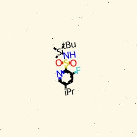 CC(C)c1cnc(S(=O)(=O)N[Si](C)(C)C(C)(C)C)c(F)c1